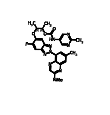 CNc1cnc2c(-n3nc4cc(F)c(O[C@@H](C)[C@@H](C)OC(=O)Nc5cnc(C)nc5)cc4n3)cc(C)cc2n1